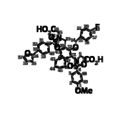 COc1ccc(S(=O)(=O)N(CC(=O)O)c2c(OCc3ccc(F)cc3)c(CN(CC(=O)O)S(=O)(=O)c3ccc(-c4ccco4)cc3)cc3ccccc23)cc1